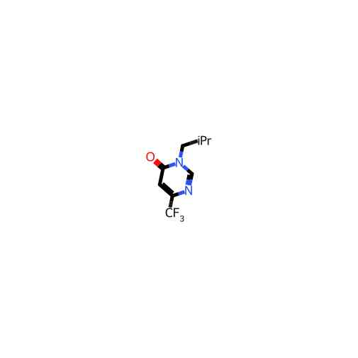 CC(C)Cn1cnc(C(F)(F)F)cc1=O